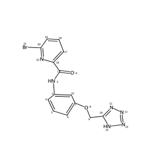 O=C(Nc1cccc(OCc2nnn[nH]2)c1)c1cccc(Br)n1